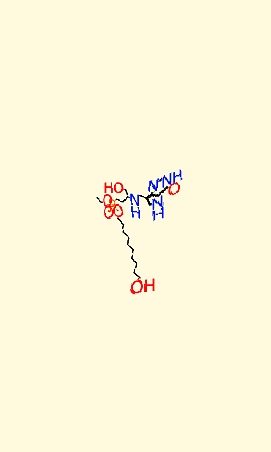 CCOP(=O)(CC[C@@H](CO)NCc1c[nH]c2c(=O)[nH]cnc12)OCCCCCCCCCCO